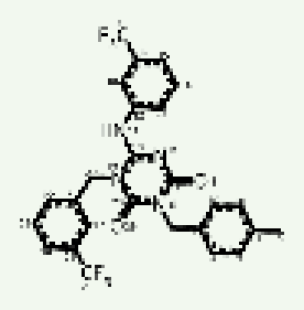 Cc1ccc(Cn2c(=O)nc(Nc3cccc(C(F)(F)F)c3)n(Cc3cccc(C(F)(F)F)c3)c2=O)cc1